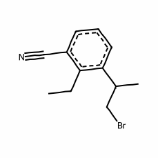 CCc1c(C#N)cccc1[C](C)CBr